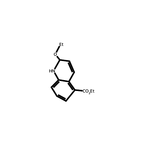 CCOC(=O)c1cccc2c1C=CC(OCC)N2